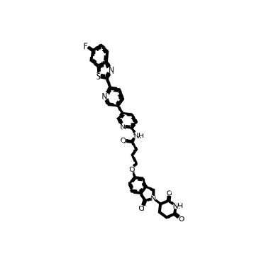 O=C1CCC(N2Cc3cc(OCCCC(=O)Nc4ccc(-c5ccc(-c6nc7ccc(F)cc7s6)nc5)cn4)ccc3C2=O)C(=O)N1